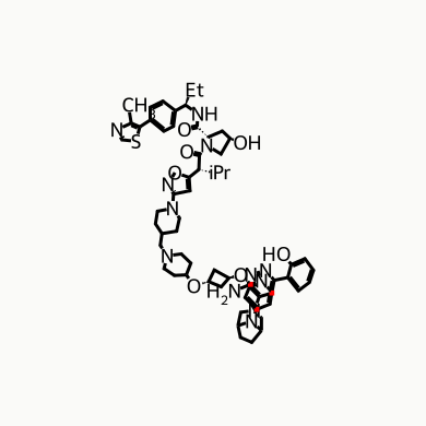 CC[C@@H](NC(=O)[C@@H]1C[C@@H](O)CN1C(=O)[C@@H](c1cc(N2CCC(CN3CCC(O[C@H]4C[C@H](Oc5cc(N6C7CCC6CN(c6cc(-c8ccccc8O)nnc6N)C7)ccn5)C4)CC3)CC2)no1)C(C)C)c1ccc(-c2scnc2C)cc1